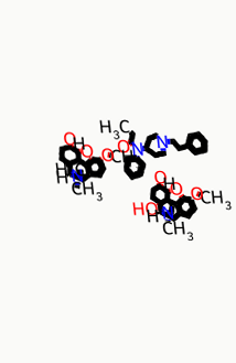 CCC(=O)N(c1ccccc1)C1CCN(CCc2ccccc2)CC1.COc1ccc2c3c1O[C@H]1C(=O)CC[C@@]4(O)[C@@H](C2)N(C)CC[C@]314.COc1ccc2c3c1O[C@H]1C(=O)CC[C@H]4[C@@H](C2)N(C)CC[C@]314